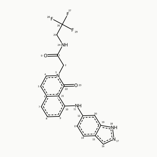 O=C(Cn1ccc2cccc(Nc3ccc4cn[nH]c4c3)c2c1=O)NCC(F)(F)F